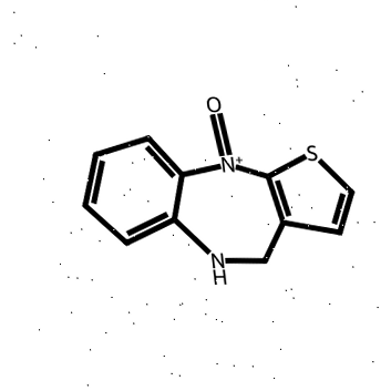 O=[N+]1c2ccccc2NCc2ccsc21